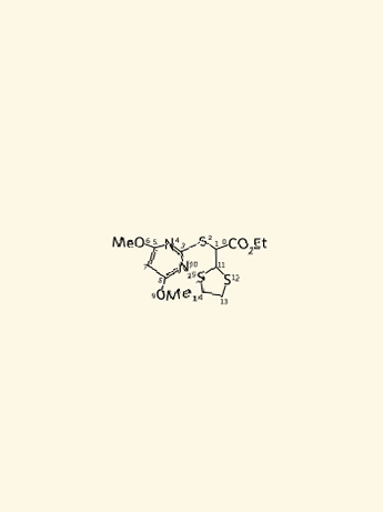 CCOC(=O)C(Sc1nc(OC)cc(OC)n1)C1SCCS1